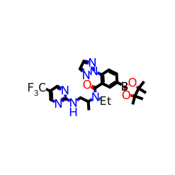 CCN(C(=O)c1cc(B2OC(C)(C)C(C)(C)O2)ccc1-n1nccn1)C(C)CNc1ncc(C(F)(F)F)cn1